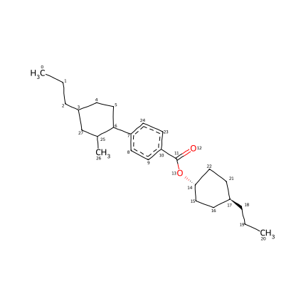 CCCC1CCC(c2ccc(C(=O)O[C@H]3CC[C@H](CCC)CC3)cc2)C(C)C1